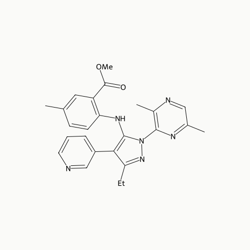 CCc1nn(-c2nc(C)cnc2C)c(Nc2ccc(C)cc2C(=O)OC)c1-c1cccnc1